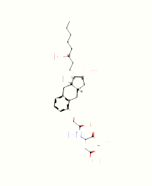 CCCCC[C@H](O)CC[C@@H]1[C@H]2Cc3cccc(OCC(=O)N[C@@H](CC(=O)O)C(=O)O)c3C[C@H]2C[C@H]1O